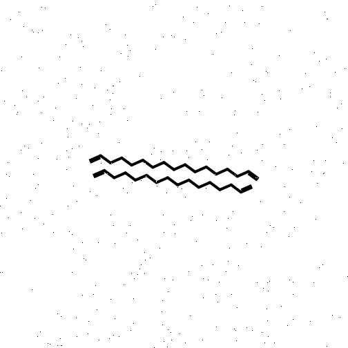 C=CCCCCCCCCCCCCC=C.C=CCCCCCCCCCCCCCC=C